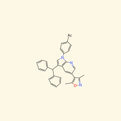 CC(=O)c1ccc(-n2cc(C(c3ccccc3)c3ccccc3)c3cc(-c4c(C)noc4C)cnc32)cc1